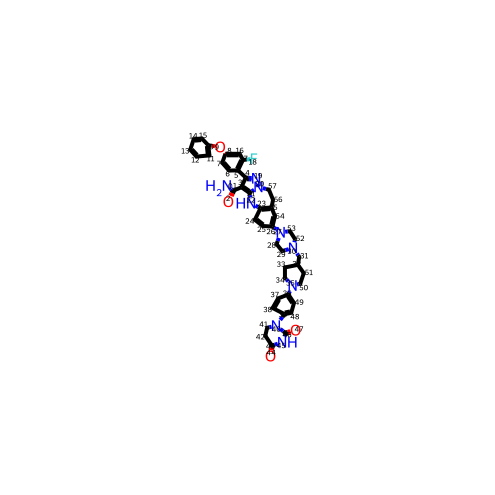 NC(=O)c1c(-c2ccc(Oc3ccccc3)cc2F)nn2c1Nc1ccc(N3CCN(CC4CCN(c5ccc(N6CCC(=O)NC6=O)cc5)CC4)CC3)cc1CC2